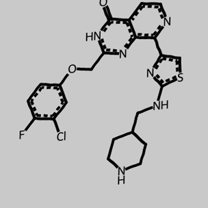 O=c1[nH]c(COc2ccc(F)c(Cl)c2)nc2c(-c3csc(NCC4CCNCC4)n3)nccc12